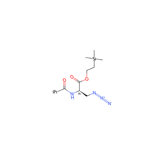 CC(C)C(=O)N[C@H](CN=[N+]=[N-])C(=O)OCC[Si](C)(C)C